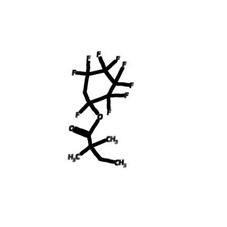 CCC(C)(C)C(=O)OC1(F)CC(F)(F)C(F)(F)C(F)(F)C1(F)F